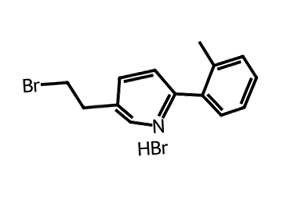 Br.Cc1ccccc1-c1ccc(CCBr)cn1